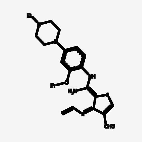 C=C/N=C1/C(C=O)=CS/C1=C(/N)Nc1ccc(N2CCN(CC)CC2)cc1OC(C)C